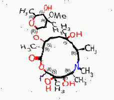 CO[C@]1(C)C[C@H](O[C@H]2CC[C@](C)(O)C[C@@H](C)CN(C)[C@H](C)[C@@H](O)[C@](C)(O)[C@@H](I)OC(=O)[C@@H]2C)O[C@@H](C)[C@@H]1O